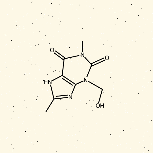 Cc1nc2c([nH]1)c(=O)n(C)c(=O)n2CO